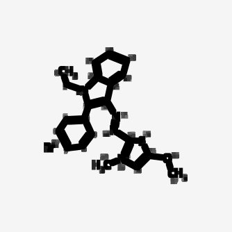 CCn1c(-c2ccccc2)c(N=Nc2sc(OC)c[n+]2C)c2ccccc21.[Br-]